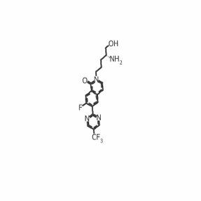 N[C@@H](CO)CCCn1ccc2cc(-c3ncc(C(F)(F)F)cn3)c(F)cc2c1=O